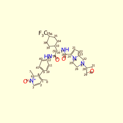 Cc1cc[n+]([O-])c(C)c1-c1ccc(NC(=O)[C@@H](NC(=O)c2ccc3n2CCN(C2COC2)C3)C2CCC(C(F)(F)F)CC2)cc1